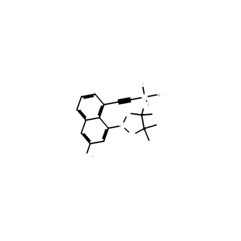 COc1cc(B2OC(C)(C)C(C)(C)O2)c2c(C#C[Si](C(C)C)(C(C)C)C(C)C)cccc2c1